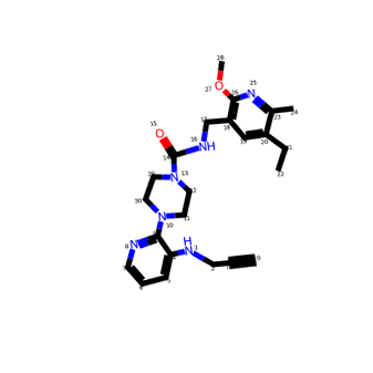 C#CCNc1cccnc1N1CCN(C(=O)NCc2cc(CC)c(C)nc2OC)CC1